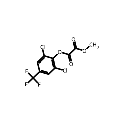 COC(=O)C(=O)Oc1c(Cl)cc(C(F)(F)F)cc1Cl